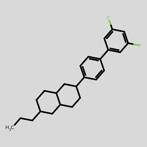 CCCC1CCC2CC(c3ccc(-c4cc(F)cc(F)c4)cc3)CCC2C1